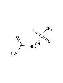 CS(C)(=O)=O.NC(N)=O